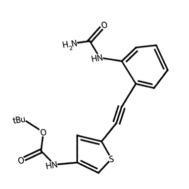 CC(C)(C)OC(=O)Nc1csc(C#Cc2ccccc2NC(N)=O)c1